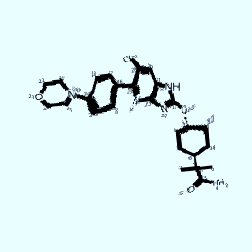 CC(C)(C(N)=O)[C@H]1CC[C@H](Oc2nc3nc(-c4ccc(N5CCOCC5)cc4)c(Cl)cc3[nH]2)CC1